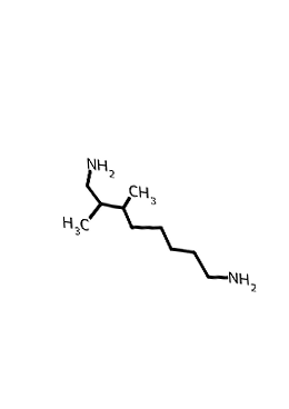 CC(CN)C(C)CCCCCN